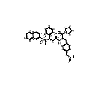 CCNCc1ccc(CC(NC(=O)CC(NS(=O)(=O)c2ccc3ccccc3c2)c2ccccc2)C(=O)N2CCCC2)cc1